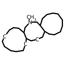 CN1CC2CCCCCCCCCCC2CCCC2CCCCCCCCCC2C1